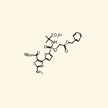 CCOC(=O)C(C)(C)NP(=O)(OCC(=O)OCc1ccccc1)c1ccc(-c2nc(N)sc2C(=O)C(C)(C)C)o1